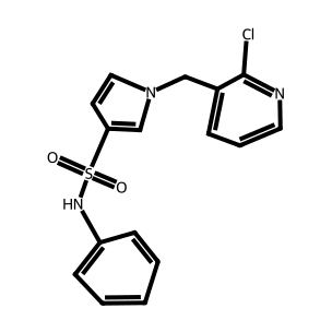 O=S(=O)(Nc1ccccc1)c1ccn(Cc2cccnc2Cl)c1